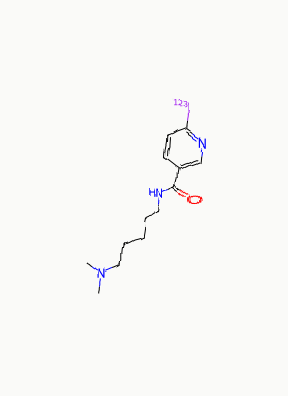 CN(C)CCCCCNC(=O)c1ccc([123I])nc1